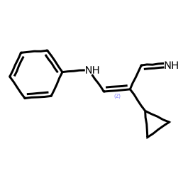 N=C/C(=C\Nc1ccccc1)C1CC1